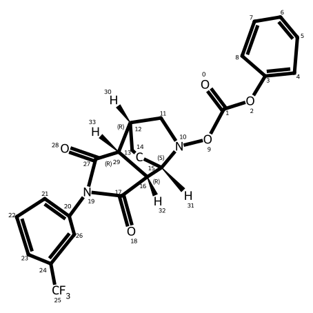 O=C(Oc1ccccc1)ON1C[C@@H]2CC[C@H]1[C@@H]1C(=O)N(c3cccc(C(F)(F)F)c3)C(=O)[C@H]21